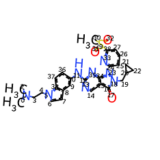 CN(C)CCn1ccc2cc(Nc3ncc4c(=O)n(CC5CC5)n(-c5cccc(S(C)(=O)=O)n5)c4n3)ccc21